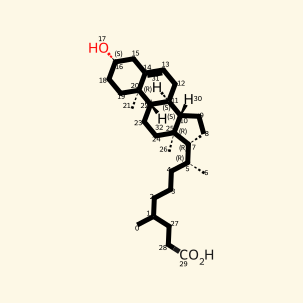 CC(CCC[C@@H](C)[C@H]1CC[C@H]2[C@@H]3CC=C4C[C@@H](O)CC[C@]4(C)[C@H]3CC[C@]12C)CCC(=O)O